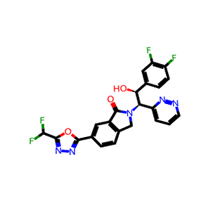 O=C1c2cc(-c3nnc(C(F)F)o3)ccc2CN1[C@H](c1cccnn1)[C@@H](O)c1ccc(F)c(F)c1